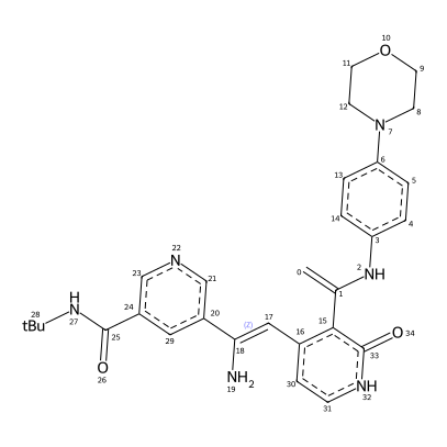 C=C(Nc1ccc(N2CCOCC2)cc1)c1c(/C=C(\N)c2cncc(C(=O)NC(C)(C)C)c2)cc[nH]c1=O